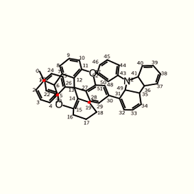 CC1C=CC=CC1c1cccc2c1C1(C3=C(CCCC3)Oc3ccccc31)c1ccc(C3=CC=CC4C5C=CC=CC5N(c5ccccc5)C34)cc1O2